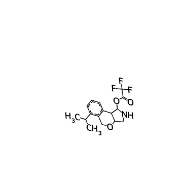 CC(C)c1cccc2c1COC1CNC(OC(=O)C(F)(F)F)C21